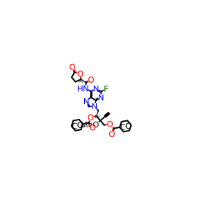 C#CC(COC(=O)C12CCC(CC1)CC2)(OC)[C@H](Cn1cnc2c(NC(=O)[C@H]3CCC(=O)O3)nc(F)nc21)OC(=O)C12CCC(CC1)CC2